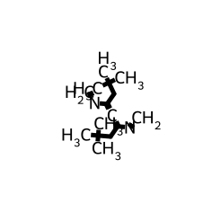 C=NC(=C=C(CC(C)(C)C)N=C)CC(C)(C)C